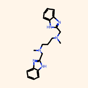 CN(CCCN(C)Cc1nc2ccccc2[nH]1)Cc1nc2ccccc2[nH]1